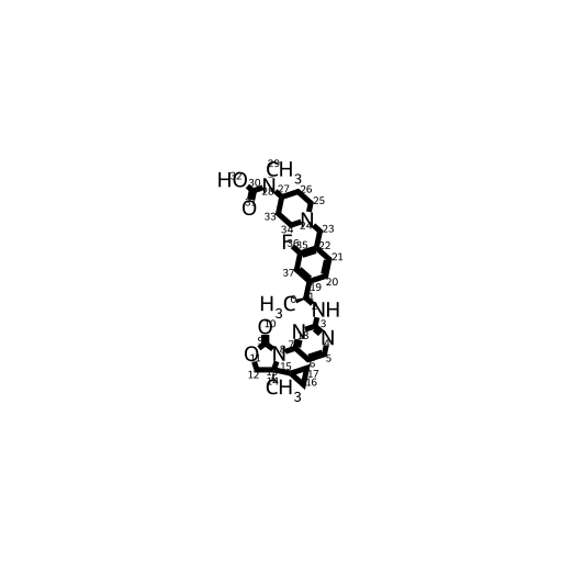 C[C@H](Nc1nccc(N2C(=O)OC[C@]2(C)C2CC2)n1)c1ccc(CN2CCC(N(C)C(=O)O)CC2)c(F)c1